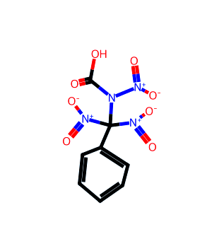 O=C(O)N([N+](=O)[O-])C(c1ccccc1)([N+](=O)[O-])[N+](=O)[O-]